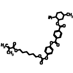 C=C(C)C(=O)OCCCCCCOC(=O)Oc1ccc(OC(=O)c2ccc(C(=O)OC3CC(C)CCC3C(C)C)cc2)cc1